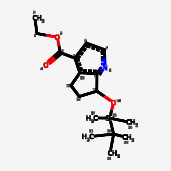 CCOC(=O)c1ccnc2c1CCC2O[Si](C)(C)C(C)(C)C